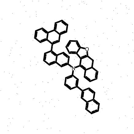 C1=CC2=C(N(c3cccc(-c4ccc5ccccc5c4)c3)c3ccc4c(-c5cc6ccccc6c6ccccc56)cccc4c3)c3c(oc4ccccc34)CC2C=C1